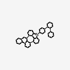 c1ccc(-c2ccccc2-c2ccc(-n3c4cccc5c4c4c(cccc43)-c3cc4ccccc4c4cccc-5c34)cc2)cc1